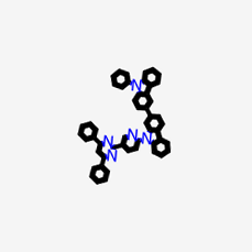 c1ccc(-c2cc(-c3ccccc3)nc(-c3ccc(-n4c5ccccc5c5ccc(-c6ccc7c(c6)c6ccccc6n7-c6ccccc6)cc54)nc3)n2)cc1